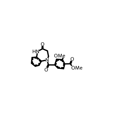 COC(=O)c1ccc(C(=O)N2CCC(=O)Nc3ccccc32)cc1OC